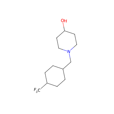 OC1CCN(CC2CCC(C(F)(F)F)CC2)CC1